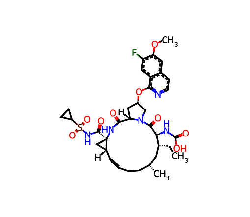 CC[C@@H]1C[C@H](C)CC/C=C\[C@@H]2C[C@@]2(C(=O)NS(=O)(=O)C2CC2)NC(=O)[C@@H]2C[C@@H](Oc3nccc4cc(OC)c(F)cc34)CN2C(=O)[C@H]1NC(=O)O